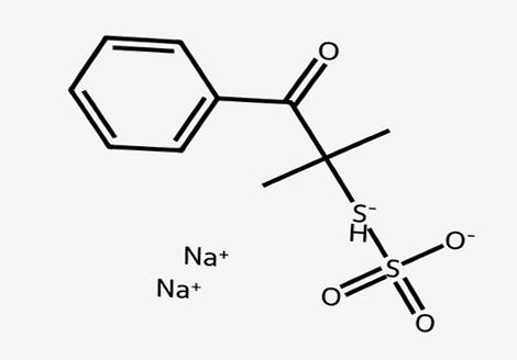 CC(C)([SH-]S(=O)(=O)[O-])C(=O)c1ccccc1.[Na+].[Na+]